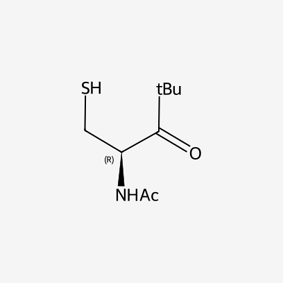 CC(=O)N[C@@H](CS)C(=O)C(C)(C)C